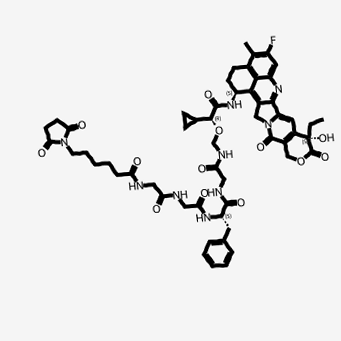 CC[C@@]1(O)C(=O)OCc2c1cc1n(c2=O)Cc2c-1nc1cc(F)c(C)c3c1c2[C@@H](NC(=O)[C@H](OCNC(=O)CNC(=O)[C@H](Cc1ccccc1)NC(=O)CNC(=O)CNC(=O)CCCCCN1C(=O)CCC1=O)C1CC1)CC3